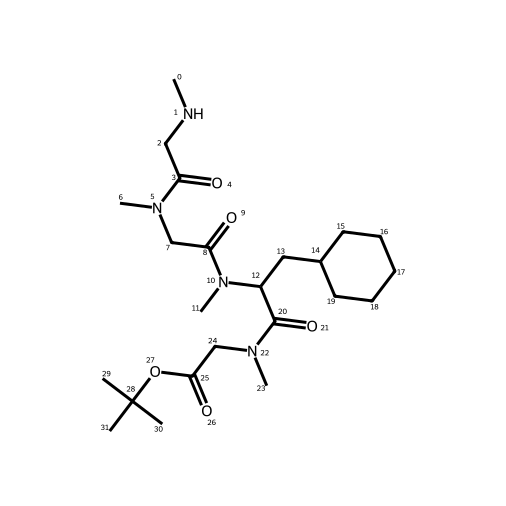 CNCC(=O)N(C)CC(=O)N(C)C(CC1CCCCC1)C(=O)N(C)CC(=O)OC(C)(C)C